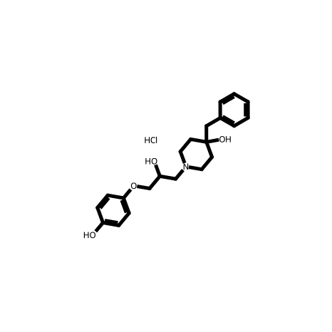 Cl.Oc1ccc(OCC(O)CN2CCC(O)(Cc3ccccc3)CC2)cc1